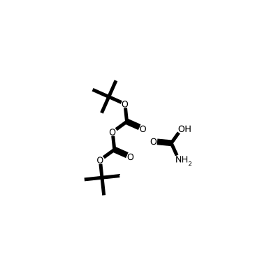 CC(C)(C)OC(=O)OC(=O)OC(C)(C)C.NC(=O)O